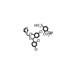 Clc1ccc(C(OCCn2ccnc2)c2ccc(Cl)cc2Cl)c(Cl)c1.O=C(O)c1cc(S(=O)(=O)O)ccc1O